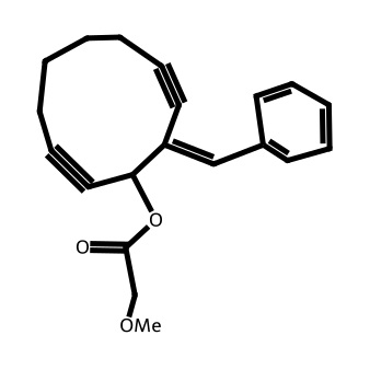 COCC(=O)OC1C#CCCCCC#CC1=Cc1ccccc1